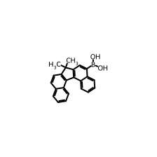 CC1(C)c2ccc3ccccc3c2-c2c1cc(B(O)O)c1ccccc21